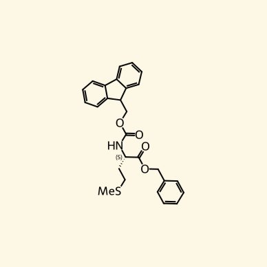 CSCC[C@H](NC(=O)OCC1c2ccccc2-c2ccccc21)C(=O)OCc1ccccc1